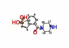 O=C(c1cccc2c1C=CS2(O)O)N1CCNCC1